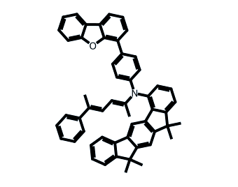 C/C(=C\C=C(/C)N(c1ccc(-c2cccc3c2oc2ccccc23)cc1)c1cccc2c1-c1cc3c(cc1C2(C)C)C(C)(C)c1ccccc1-3)c1ccccc1